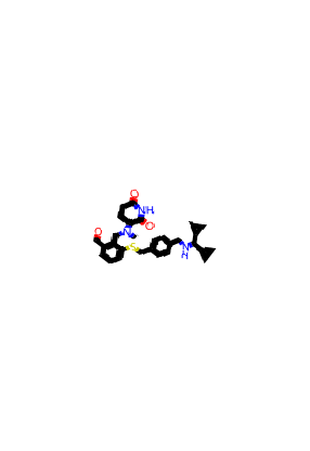 CN(Cc1c(C=O)cccc1SCc1ccc(CNC(C2CC2)C2CC2)cc1)C1CCC(=O)NC1=O